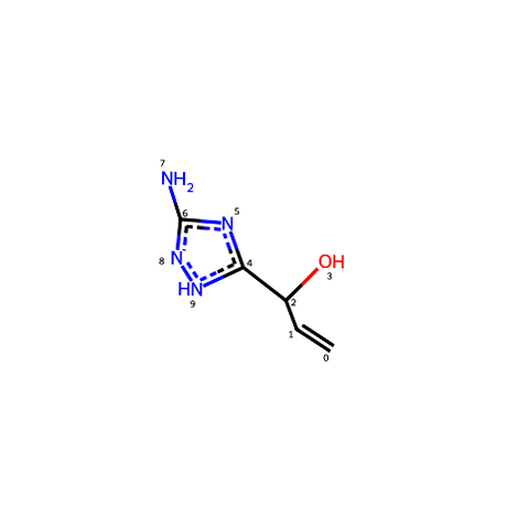 C=CC(O)c1nc(N)n[nH]1